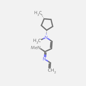 C=C/N=C(\C=C/N(C)[C@H]1CC[C@@H](C)C1)NC